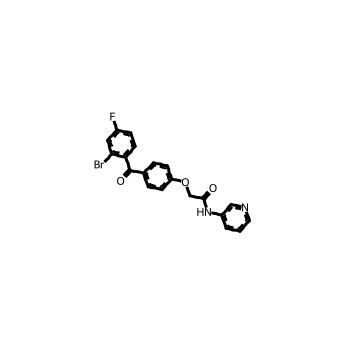 O=C(COc1ccc(C(=O)c2ccc(F)cc2Br)cc1)Nc1cccnc1